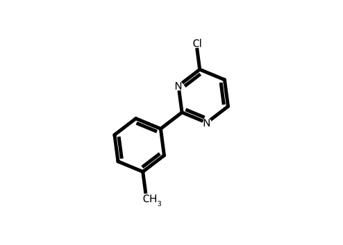 Cc1cccc(-c2nccc(Cl)n2)c1